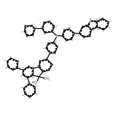 CC1(C)c2ccc(-c3ccc(N(c4ccc(-c5ccc6c(c5)sc5ccccc56)cc4)c4cccc(-c5ccccc5)c4)cc3)cc2-c2cc(-c3ccccc3)cc(-c3ccccc3)c21